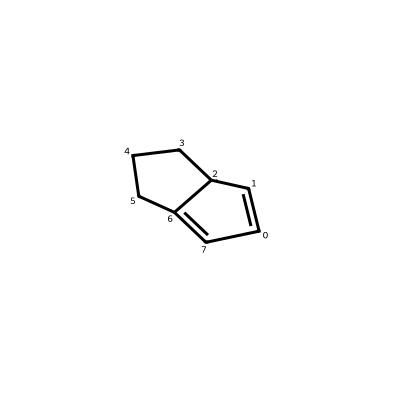 C1=C[C]2CCCC2=C1